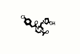 CC(=O)N1CCN(C(=O)Cc2ccc(Cl)cc2)C(CN2CCC(O)C2)C1